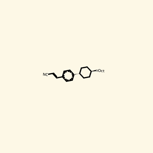 CCCCCCCC[C@H]1CC[C@H](c2ccc(C=CC#N)cc2)CC1